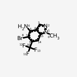 Cn1ncc2c(N)c(Br)c(C(F)(F)F)cc21